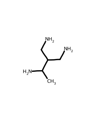 CC(N)C(CN)CN